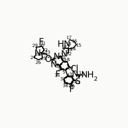 Nc1nc2c(-c3c(Cl)cc4c(N5CC6(CCCCN6)C5)nc(OCC56CCCN5C[C@H](F)C6)nc4c3F)ccc(F)c2s1